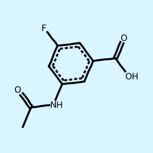 CC(=O)Nc1cc(F)cc(C(=O)O)c1